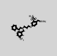 CC(=O)NCc1ccc(OCCCN(CCc2ccccc2)Cc2cccc(C(F)(F)F)c2)cc1S(C)(=O)=O